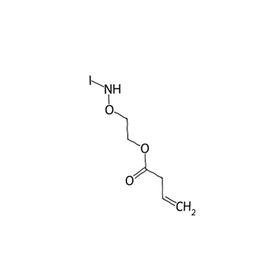 C=CCC(=O)OCCONI